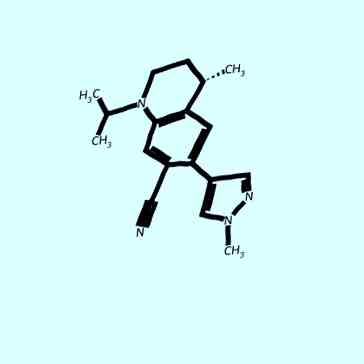 CC(C)N1CC[C@H](C)c2cc(-c3cnn(C)c3)c(C#N)cc21